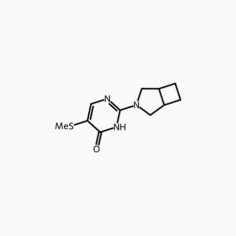 CSc1cnc(N2CC3CCC3C2)[nH]c1=O